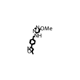 COc1cc(NCc2ccc(-c3cc(C)on3)cc2)ncn1